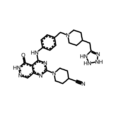 N#CC1CCN(c2nc(Nc3ccc(CN4CCC(CC5=NNNN5)CC4)cc3)c3c(=O)[nH]ncc3n2)CC1